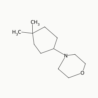 CC1(C)CCC(N2CCOCC2)CC1